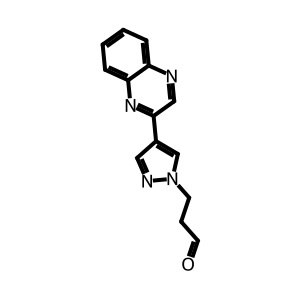 O=CCCn1cc(-c2cnc3ccccc3n2)cn1